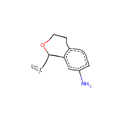 CCOC(=O)C1OCCc2ccc(N)cc21